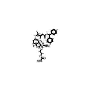 C/C(=C\C(=O)OC(c1ccccc1)c1ccccc1)[C@H](C)C[C@H]1CC[C@@H]2O[C@@H](CCCOC(=O)C(C)(C)C)C[C@]2(CO[Si](C)(C)C(C)(C)C)O1